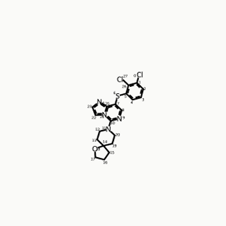 Clc1cccc(Sc2cnc(N3CCC4(CCCO4)CC3)n3ccnc23)c1Cl